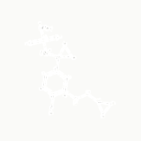 CCCCCCS(=O)(=O)NC1(c2ccc(F)c(OCC3CC3)c2)CC1